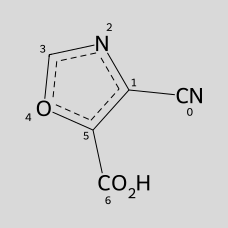 N#Cc1ncoc1C(=O)O